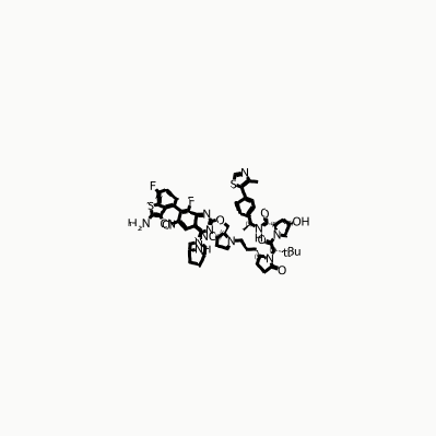 Cc1ncsc1-c1ccc([C@H](C)NC(=O)[C@@H]2C[C@@H](O)CN2C(=O)[C@@H](N2C(=O)CC[C@@H]2CCCN2CC[C@H](C#N)[C@H]2COc2nc(N3CC4CCC(C3)N4)c3cc(Cl)c(-c4ccc(F)c5sc(N)c(C#N)c45)c(F)c3n2)C(C)(C)C)cc1